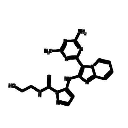 Cc1nc(N)nc(-c2c(Nc3ccnn3C(=O)NCCO)nc3ccccn23)n1